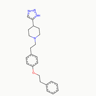 c1ccc(CCOc2ccc(CCN3CCC(c4cnn[nH]4)CC3)cc2)cc1